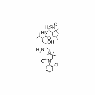 CCC(NC(=O)[C@@H](C[C@H](O)[C@@H](N)CN1CC(=O)N(c2ccccc2Cl)CC1(C)C)C(C)C)C1CC(C)CC1(C)C(N)=O